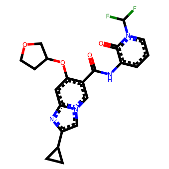 O=C(Nc1cccn(C(F)F)c1=O)c1cn2cc(C3CC3)nc2cc1OC1CCOC1